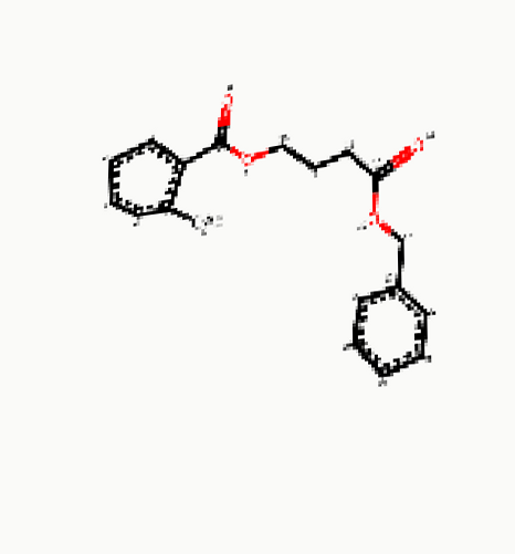 CC(=O)Oc1ccccc1C(=O)OCCCC(=O)OCc1ccccc1